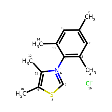 Cc1cc(C)c(-[n+]2csc(C)c2C)c(C)c1.[Cl-]